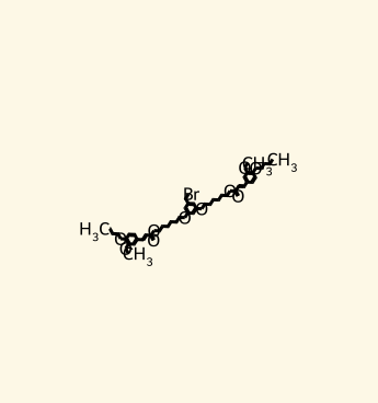 CCCCOc1ccc(C=CC(=O)OCCCCCCOc2cc(CBr)cc(OCCCCCCOC(=O)C=Cc3ccc(OCCCC)c(OC)c3)c2)cc1OC